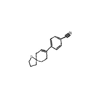 N#Cc1ccc(C2=CCC3(CCCO3)CC2)cc1